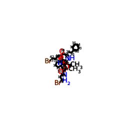 CC(C)(C)OC(=O)[C@@]1(C(=O)OCCCBr)CCCN1C(=O)[C@H](CCCCN)N[C@@H](CCc1ccccc1)C(=O)OCCCBr